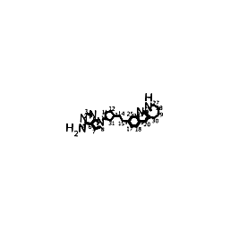 Nc1ncnc2c1ccn2C1CCC(CCc2ccc3cc4c(nc3c2)NCCCC4)C1